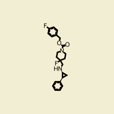 O=C(OCc1ccc(F)cc1)N1CCC(F)(CN[C@@H]2C[C@H]2c2ccccc2)CC1